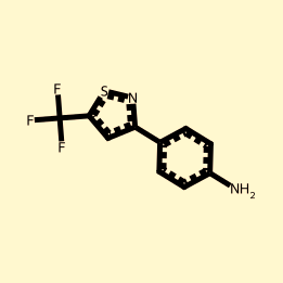 Nc1ccc(-c2cc(C(F)(F)F)sn2)cc1